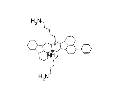 NCCCCCC1C2C3CCC(C4C=CCCC4)C4=C3C(CCC4)C2[C@H](CCCCCN)C2CC3C4CCCCC4C4CCC[C@@H](C43)[C@H]12